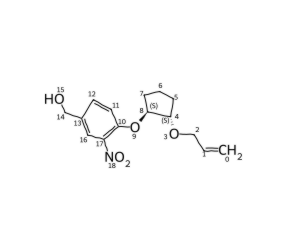 C=CCO[C@H]1CCC[C@@H]1Oc1ccc(CO)cc1[N+](=O)[O-]